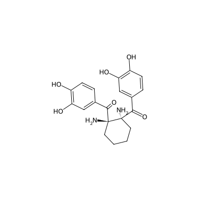 N[C@]1(C(=O)c2ccc(O)c(O)c2)CCCC[C@]1(N)C(=O)c1ccc(O)c(O)c1